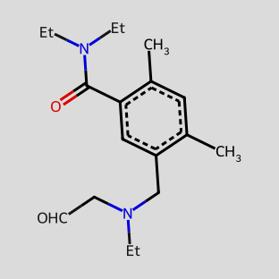 CCN(CC=O)Cc1cc(C(=O)N(CC)CC)c(C)cc1C